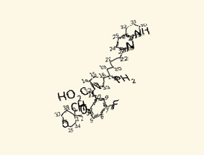 CC1(COc2ccc(F)cc2[C@@H](C(=O)O)N2CCC(C(P)CCCCc3ccc4c(n3)NCCC4)C2)CCOCC1